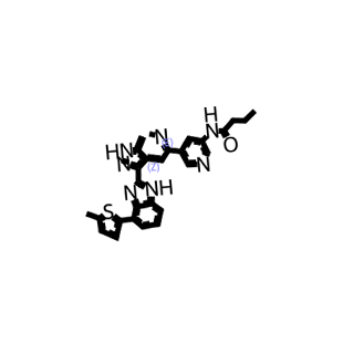 C=c1[nH]nc(-c2nc3c(-c4ccc(C)s4)cccc3[nH]2)/c1=C/C(=N\C)c1cncc(NC(=O)CCC)c1